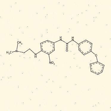 CN(C)CCNc1ccc(NC(=O)Nc2ccc(Oc3ccccc3)cc2)cc1[N+](=O)[O-]